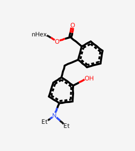 CCCCCCOC(=O)c1ccccc1Cc1ccc(N(CC)CC)cc1O